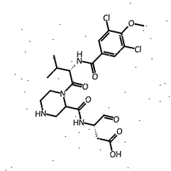 COc1c(Cl)cc(C(=O)N[C@H](C(=O)N2CCNCC2C(=O)N[C@H](C=O)CC(=O)O)C(C)C)cc1Cl